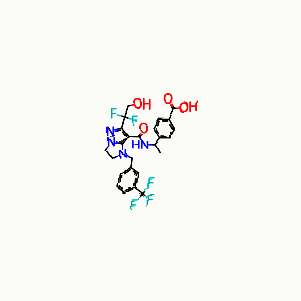 CC(NC(=O)c1c(C(F)(F)CO)nn2c1N(Cc1cccc(C(F)(F)F)c1)CC2)c1ccc(C(=O)O)cc1